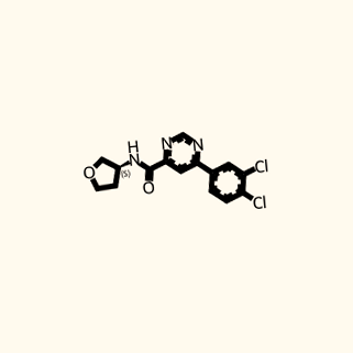 O=C(N[C@H]1CCOC1)c1cc(-c2ccc(Cl)c(Cl)c2)ncn1